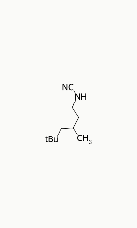 CC(CCNC#N)CC(C)(C)C